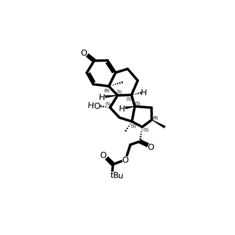 C[C@@H]1C[C@H]2[C@@H]3CCC4=CC(=O)C=C[C@]4(C)[C@H]3[C@@H](O)C[C@]2(C)[C@H]1C(=O)COC(=O)C(C)(C)C